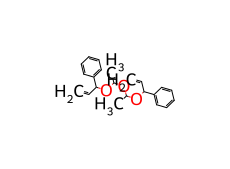 C=CC(OC(C)OC(C)OC(C=C)c1ccccc1)c1ccccc1